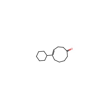 O=C1CCC=C(C2CCCCC2)CCCC1